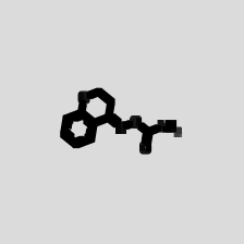 NC(=O)ON=C1CCOc2ccccc21